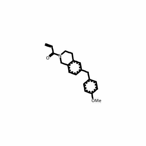 C=CC(=O)N1CCc2cc(Cc3ccc(OC)cc3)ccc2C1